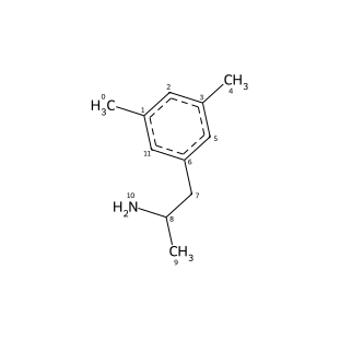 Cc1cc(C)cc(CC(C)N)c1